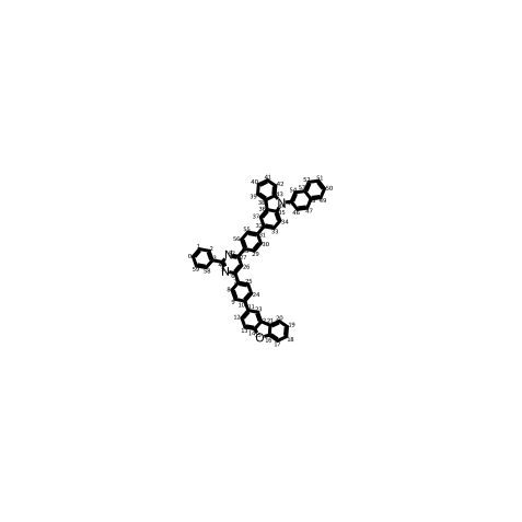 c1ccc(-c2nc(-c3ccc(-c4ccc5oc6ccccc6c5c4)cc3)cc(-c3ccc(-c4ccc5c(c4)c4ccccc4n5-c4ccc5ccccc5c4)cc3)n2)cc1